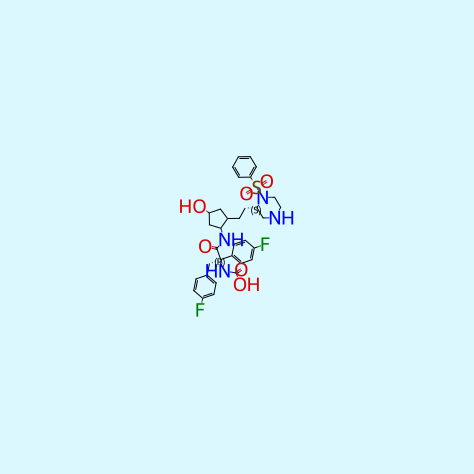 O=C(O)N[C@@](Cc1ccc(F)cc1)(C(=O)NC1CC(O)CC1CC[C@H]1CNCCN1S(=O)(=O)c1ccccc1)c1ccc(F)cc1